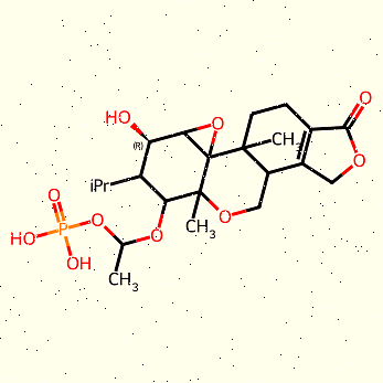 CC(OC1C(C(C)C)[C@@H](O)C2OC23C2(C)CCC4=C(COC4=O)C2COC13C)OP(=O)(O)O